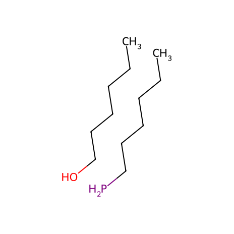 CCCCCCO.CCCCCCP